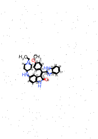 CCN1CCC(Nc2ccc3c(c2)/C(=C(\c2ccc(OC)cc2)c2nc4ccccc4[nH]2)C(=O)N3)CC1